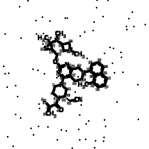 C=C(F)C(=O)N1CCN(c2nc(OCC3S[C@]3(C)N(C)C3CN(C)C3)nc3c2CCN(c2cccc4cccc(C)c24)C3)C[C@@H]1CC#N